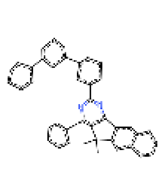 CC1(C)c2cc3ccccc3cc2-c2nc(-c3cccc(-c4cccc(-c5ccccc5)c4)c3)nc(-c3ccccc3)c21